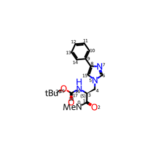 CNC(=O)[C@H](Cn1cnc(-c2ccccc2)c1)NC(=O)OC(C)(C)C